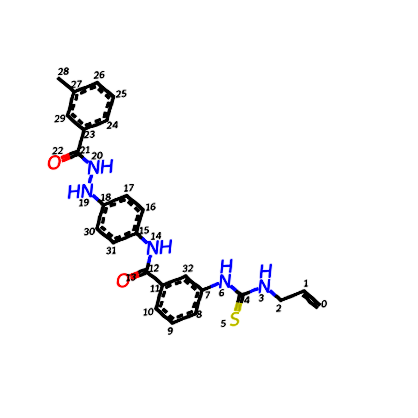 C=CCNC(=S)Nc1cccc(C(=O)Nc2ccc(NNC(=O)c3cccc(C)c3)cc2)c1